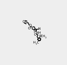 COc1ccc(C)cc1CCC(=O)Nc1sc2c(c1C#N)CCN(C(=O)OCCN1CCOCC1)C2